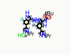 CC(C)n1cc(-c2cc(F)c3[nH]cc(N)c3c2)cn1.CC(C)n1cc(-c2cc(F)c3[nH]cc(NC(=O)OC(C)(C)C)c3c2)cn1.Cl